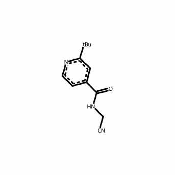 CC(C)(C)c1cc(C(=O)NCC#N)ccn1